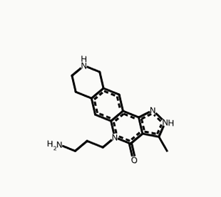 Cc1[nH]nc2c1c(=O)n(CCCN)c1cc3c(cc21)CNCC3